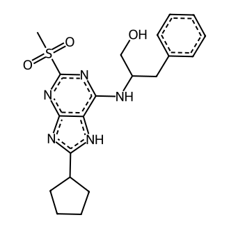 CS(=O)(=O)c1nc(NC(CO)Cc2ccccc2)c2[nH]c(C3CCCC3)nc2n1